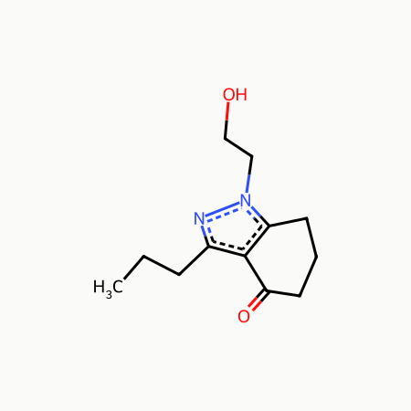 CCCc1nn(CCO)c2c1C(=O)CCC2